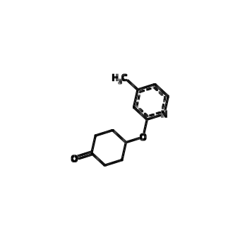 Cc1ccnc(OC2CCC(=O)CC2)c1